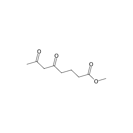 COC(=O)CCCC(=O)CC(C)=O